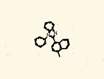 Cc1ccc(-c2nc3ccccc3n2-c2ccccc2)c2c1C=C=C=C2